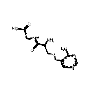 Nc1ncncc1CSCC(N)C(=O)NCC(=O)O